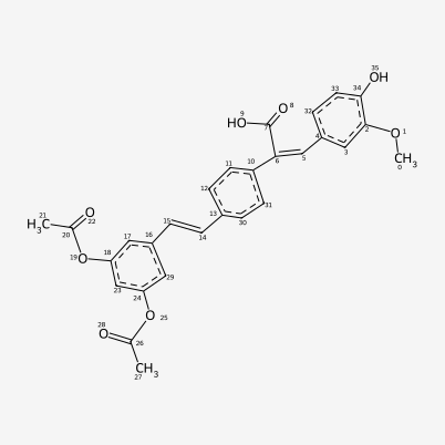 COc1cc(C=C(C(=O)O)c2ccc(C=Cc3cc(OC(C)=O)cc(OC(C)=O)c3)cc2)ccc1O